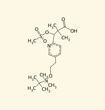 CC(C)(C(=O)O)C(OS(C)(=O)=O)c1ccc(CCO[Si](C)(C)C(C)(C)C)cn1